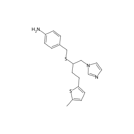 Cc1ccc(CCC(Cn2ccnc2)SCc2ccc(N)cc2)s1